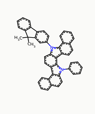 CC1(C)c2ccccc2-c2ccc(-n3c4ccc5c6c7ccccc7ccc6n(-c6ccccc6)c5c4c4ccc5ccccc5c43)cc21